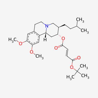 COc1cc2c(cc1OC)[C@H]1C[C@@H](OC(=O)/C=C/C(=O)OC(C)(C)C)[C@H](CCC(C)C)CN1CC2